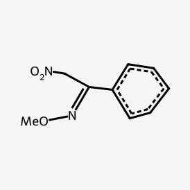 CON=C(C[N+](=O)[O-])c1ccccc1